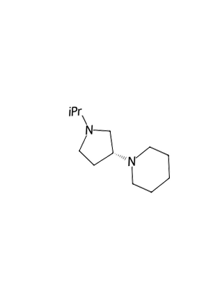 CC(C)N1CC[C@@H](N2CCCCC2)C1